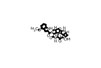 COc1cccc2[nH]c(C(=O)N3C[C@@H]4CCC[C@@H]4[C@H]3C(=O)N[C@@H](C[C@H]3C(=O)N[C@@H]4CC[C@@H]43)C(=O)CO)cc12